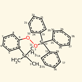 C[Si](C)(C)c1ccccc1OO[Si](c1ccccc1)(c1ccccc1)c1ccccc1